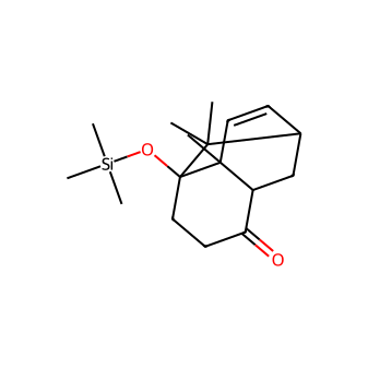 CC1(C)C2C=CC3(C)C(C2)C(=O)CCC13O[Si](C)(C)C